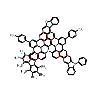 Bc1c(B)c(B)c2c(c1B)c1c(B)c(B)c(B)c(B)c1n2-c1ccc2c(c1)C(c1c(-c3ccccc3)cc(-c3ccc(C(C)(C)C)cc3)cc1-c1ccccc1)c1cc(-c3ccc4oc5ccccc5c4c3)cc3c1B2c1ccc(-c2ccc4c(c2)c2ccccc2n4-c2ccccc2)cc1N3c1c(-c2ccccc2)cc(-c2ccc(C(C)(C)C)cc2)cc1-c1ccccc1